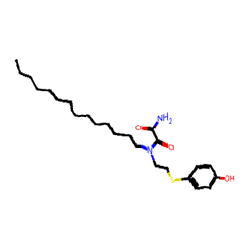 CCCCCCCCCCCCCCN(CCSc1ccc(O)cc1)C(=O)C(N)=O